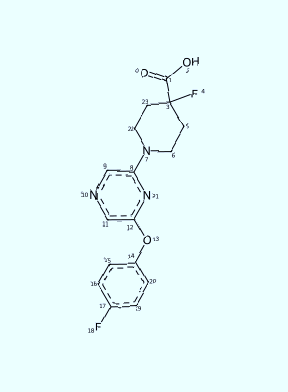 O=C(O)C1(F)CCN(c2cncc(Oc3ccc(F)cc3)n2)CC1